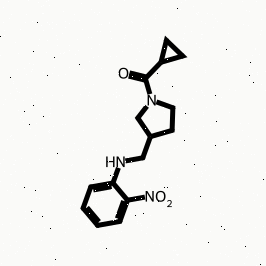 O=C(C1CC1)N1CCC(CNc2ccccc2[N+](=O)[O-])C1